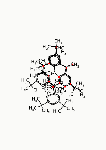 Cc1cc([C@H](C)c2cc(C(C)(C)C)cc(C(C)(C)C)c2)c(N(C(=O)C(N)=O)c2c([C@H](C)c3cc(C(C)(C)C)cc(C(C)(C)C)c3)cc(C)cc2[C@H](C)c2cc(C(C)(C)C)cc(C(C)(C)C)c2)c([C@H](C)c2cc(C(C)(C)C)cc(C(C)(C)C)c2)c1